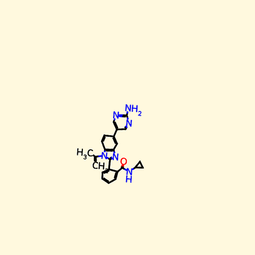 C=C(C)n1c(-c2ccccc2C(=O)NC2CC2)nc2cc(-c3cnc(N)nc3)ccc21